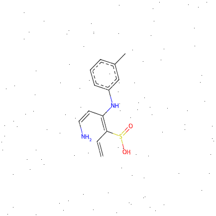 C=C/C(=C(\C=C/N)Nc1cccc(C)c1)S(=O)O